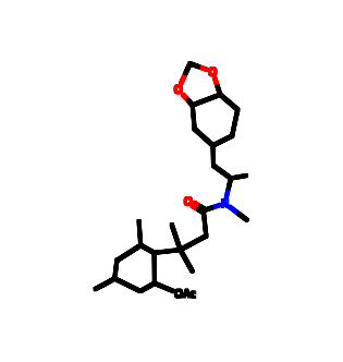 CC(=O)OC1CC(C)CC(C)C1C(C)(C)CC(=O)N(C)C(C)CC1CCC2OCOC2C1